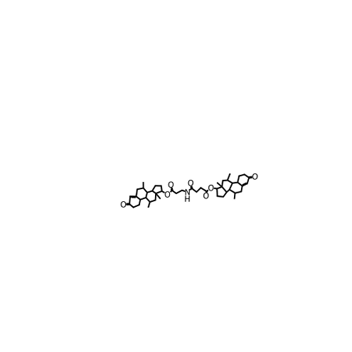 CC1CC2(C)C(OC(=O)CCNC(=O)CCC(=O)OC3CCC4C5C(C)CC6=CC(=O)CCC6C5C(C)CC34C)CCC2C2C(C)CC3=CC(=O)CCC3C12